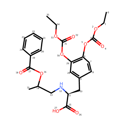 CCOC(=O)Oc1ccc(C[C@H](NCC(C)OC(=O)c2ccccc2)C(=O)O)cc1OC(=O)OCC